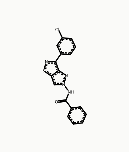 O=C(Nn1cc2snc(-c3cccc(Cl)c3)c2n1)c1ccccc1